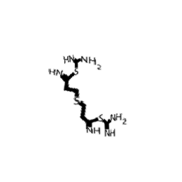 N=C(N)SC(=N)CCSCCC(=N)SC(=N)N